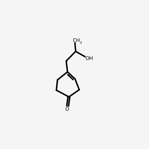 CC(O)CC1=CCC(=O)CC1